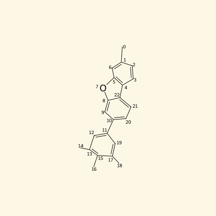 Cc1ccc2c(c1)oc1cc(-c3cc(C)c(C)c(C)c3)ccc12